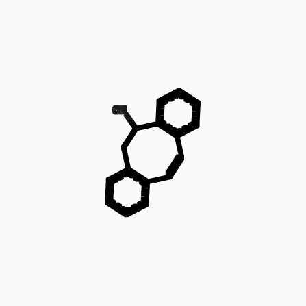 O=NC1Cc2ccccc2/C=C\c2ccccc21